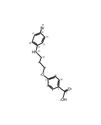 O=C(O)c1ccc(OCCCNc2ccc(Br)cc2)cc1